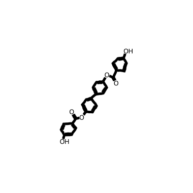 O=C(Oc1ccc(-c2ccc(OC(=O)c3ccc(O)cc3)cc2)cc1)c1ccc(O)cc1